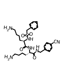 N#Cc1ccc(CNC(=O)[C@H](CCCCN)NC(=O)[C@@H](CCCCN)NS(=O)(=O)Cc2ccccc2)cc1